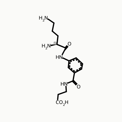 NCCC[C@H](N)C(=O)Nc1cccc(C(=O)NCCC(=O)O)c1